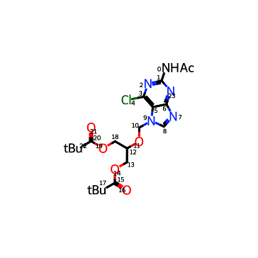 CC(=O)Nc1nc(Cl)c2c(ncn2COC(COC(=O)C(C)(C)C)COC(=O)C(C)(C)C)n1